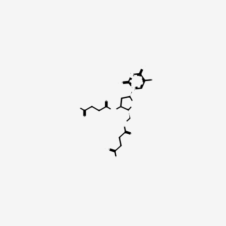 O=C(O)CCC(=O)OC[C@@H]1O[C@H](n2cc(F)c(=O)[nH]c2=O)CC1OC(=O)CCC(=O)O